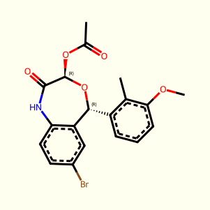 COc1cccc([C@H]2O[C@H](OC(C)=O)C(=O)Nc3ccc(Br)cc32)c1C